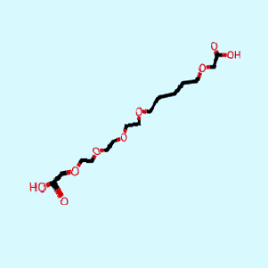 O=C(O)COCCCCCOCCOCCOCCOCC(=O)O